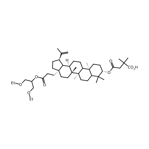 C=C(C)[C@@H]1CC[C@]2(CCC(=O)OC(COCC)COCC)CC[C@]3(C)[C@H](CCC4[C@@]5(C)CC[C@H](OC(=O)CC(C)(C)C(=O)O)C(C)(C)C5CC[C@]43C)C12